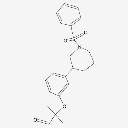 CC(C)(C=O)Oc1cccc(C2CCCN(S(=O)(=O)c3ccccc3)C2)c1